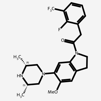 COc1cc2c(cc1N1C[C@@H](C)N[C@@H](C)C1)N(C(=O)Cc1cccc(C(F)(F)F)c1F)CC2